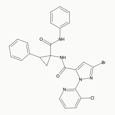 O=C(NC1(C(=O)Nc2ccccc2)CC1c1ccccc1)c1cc(Br)nn1-c1ncccc1Cl